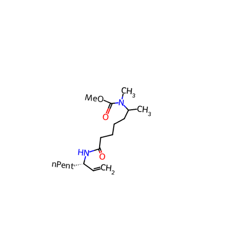 C=C[C@H](CCCCC)NC(=O)CCCCC(C)N(C)C(=O)OC